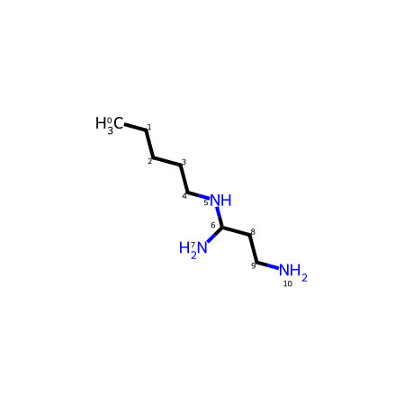 CCCCCNC(N)CCN